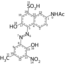 CC(=O)Nc1ccc2c(N=Nc3cc(C)cc([N+](=O)[O-])c3O)c(O)cc(S(=O)(=O)O)c2c1